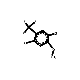 COc1nc(Cl)c(C(F)(F)F)cc1Cl